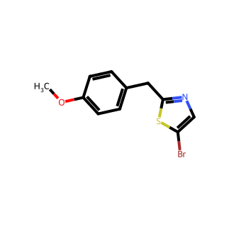 COc1ccc(Cc2ncc(Br)s2)cc1